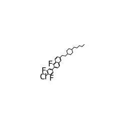 CCCCCC1CCC(CCc2ccc3c(F)c(-c4cc(F)c(Cl)c(F)c4)ccc3c2)CC1